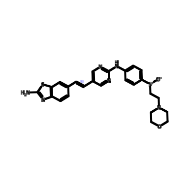 Nc1nc2ccc(/C=C/c3cnc(Nc4ccc([S+]([O-])CCN5CCOCC5)cc4)nc3)cc2s1